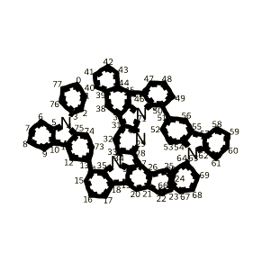 c1ccc(-n2c3ccccc3c3cc(-c4cccc5c6cc7ccccc7c7c8nc9c(cc8n(c45)c67)c4cc5ccccc5c5c6cccc(-c7ccc8c(c7)c7ccccc7n8-c7ccccc7)c6n9c45)ccc32)cc1